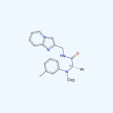 Cc1cccc(N(C=O)[C@H](C(=O)NCc2cn3ccccc3n2)C(C)C)c1